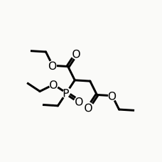 CCOC(=O)CC(C(=O)OCC)P(=O)(CC)OCC